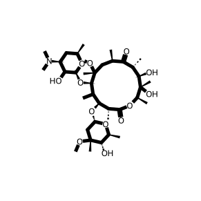 CO[C@]1(C)C[C@@H](C)C(=O)[C@H](C)[C@@H](O)[C@](C)(O)[C@@H](C)OC(=O)[C@H](C)[C@@H](O[C@H]2C[C@@](C)(OC)[C@@H](O)[C@H](C)O2)C(C)[C@H]1O[C@@H]1O[C@H](C)C[C@H](N(C)C)C1O